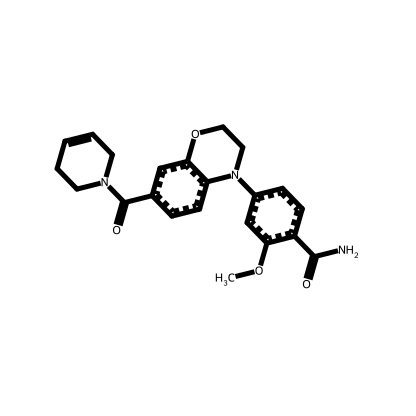 COc1cc(N2CCOc3cc(C(=O)N4CC=CCC4)ccc32)ccc1C(N)=O